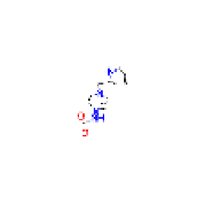 [O]C(=O)NN1CCN(Cc2ccccn2)CC1